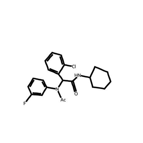 [CH2]C(=O)N(c1cccc(F)c1)C(C(=O)NC1CCCCC1)c1ccccc1Cl